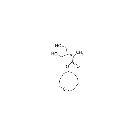 CC(C(=O)OC1CCCCCCCCC1)=C(CO)CO